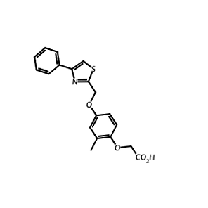 Cc1cc(OCc2nc(-c3ccccc3)cs2)ccc1OCC(=O)O